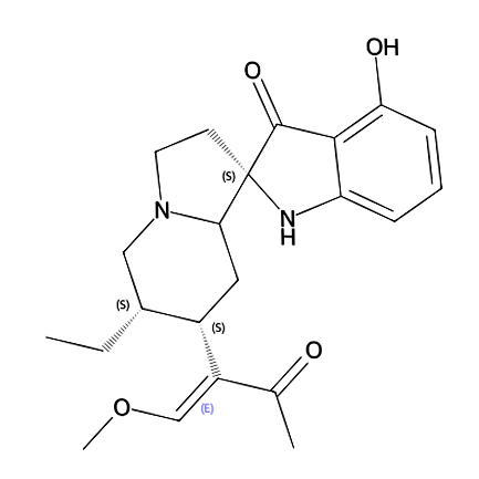 CC[C@@H]1CN2CC[C@]3(Nc4cccc(O)c4C3=O)C2C[C@@H]1/C(=C\OC)C(C)=O